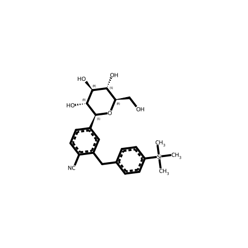 C[Si](C)(C)c1ccc(Cc2cc([C@@H]3O[C@H](CO)[C@@H](O)[C@H](O)[C@H]3O)ccc2C#N)cc1